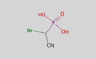 N#CC(Br)P(=O)(O)O